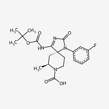 C[C@H]1C[C@]2(CCN1C(=O)O)C(NC(=O)OC(C)(C)C)=NC(=O)N2c1cccc(F)c1